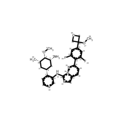 CO[C@@H]1[C@H](N)C[C@H](c2ccncc2Nc2ncc3ccc(-c4c(F)cc(C5(OC)COC5)cc4F)nn23)C[C@@H]1C